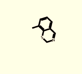 Cc1cccc2c1SCN=C2